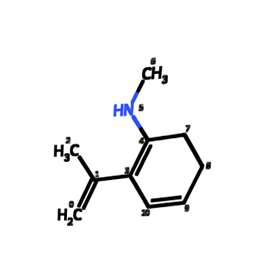 C=C(C)C1=C(NC)CCC=C1